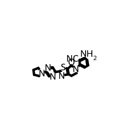 N#Cc1c(N)cccc1N1CCc2nc(-c3cnc(N4CCCC4)cn3)sc2C1=O